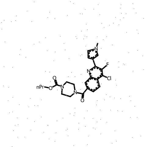 CCCOC(=O)N1CCN(C(=O)c2ccc3c(Cl)c(F)c(-c4ccn(C)c4)nc3c2)CC1